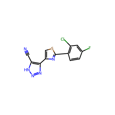 N#Cc1[nH]nnc1-c1csc(-c2ccc(F)cc2Cl)n1